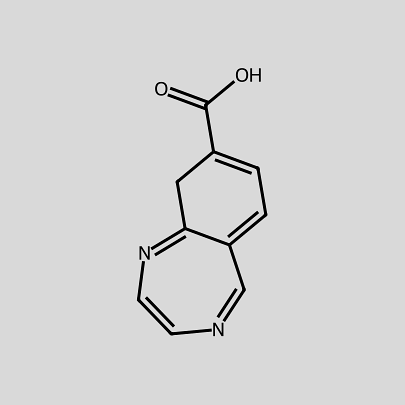 O=C(O)C1=CC=C2C=NC=CN=C2C1